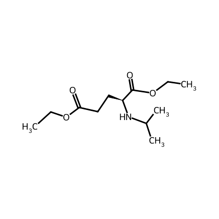 CCOC(=O)CC[C@H](NC(C)C)C(=O)OCC